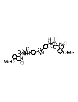 COc1cccc2c(C(=O)N[C@@H](C)C(=O)Nc3ccc(-c4nnc(-c5ccc(NC(=O)[C@H](C)NC(=O)c6nc(Cl)cc7c(OC)cccc67)cc5)o4)cc3)nc(Cl)cc12